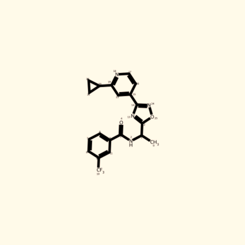 CC(NC(=O)c1cccc(C(F)(F)F)c1)c1nc(-c2ccnc(C3CC3)c2)no1